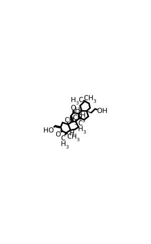 CC1(C)CC[C@]2(CCO)CC[C@]3(C)[C@H](C(=O)C=C4[C@@]5(C)C/C(=C/O)C(=O)C(C)(C)[C@@H]5CC[C@]43C)[C@@H]2C1